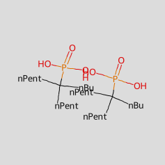 CCCCCC(CCCC)(CCCCC)P(=O)(O)O.CCCCCC(CCCC)(CCCCC)P(=O)(O)O